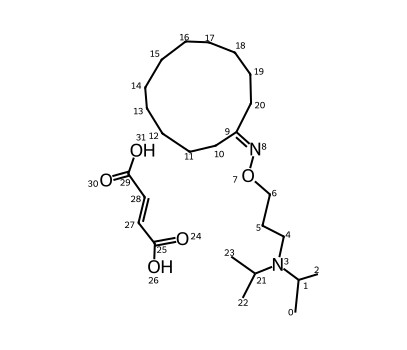 CC(C)N(CCCON=C1CCCCCCCCCCC1)C(C)C.O=C(O)/C=C/C(=O)O